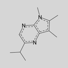 Cc1c(C)n(C)c2ncc(C(C)C)nc12